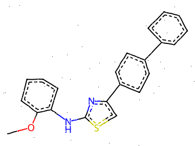 COc1ccccc1Nc1nc(-c2ccc(-c3ccccc3)cc2)cs1